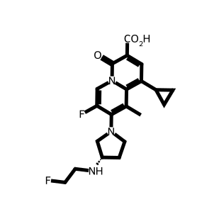 Cc1c(N2CC[C@H](NCCF)C2)c(F)cn2c(=O)c(C(=O)O)cc(C3CC3)c12